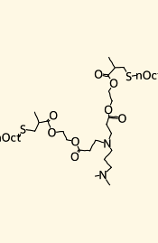 CCCCCCCCSCC(C)C(=O)OCCOC(=O)CCN(CCCN(C)C)CCC(=O)OCCOC(=O)C(C)CSCCCCCCCC